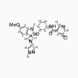 COc1ccc2c(c1)N(C[C@H]1CC[C@H](NC(=O)c3cc(Cl)cnc3C)CC1)C(=O)C21CN(c2cnn(C)c2)C1